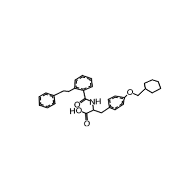 O=C(NC(Cc1ccc(OCC2CCCCC2)cc1)C(=O)O)c1ccccc1CCc1ccccc1